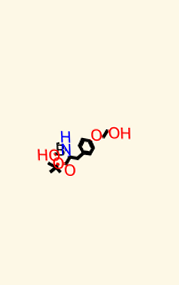 CB(O)NC(Cc1ccc(OCCO)cc1)C(=O)OC(C)(C)C